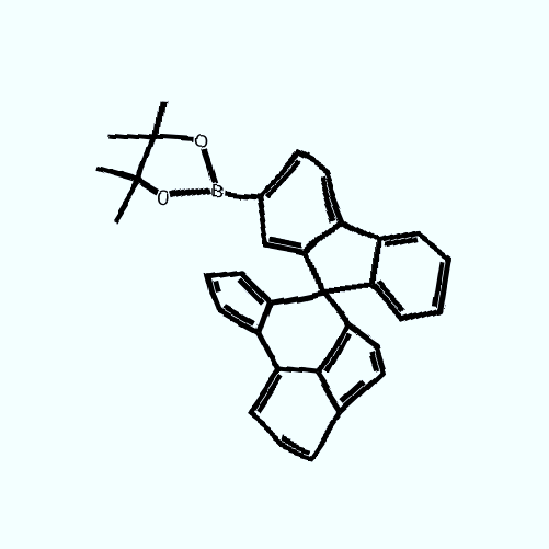 CC1(C)OB(c2ccc3c(c2)C2(c4ccccc4-3)c3ccccc3-c3cccc4cccc2c34)OC1(C)C